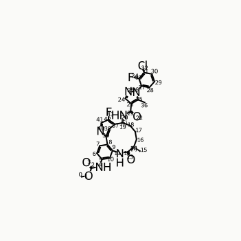 COC(=O)Nc1ccc2c(c1)NC(=O)[C@H](C)CCC[C@H](NC(=O)c1cnn(-c3cccc(Cl)c3F)c1C)c1cc-2ncc1F